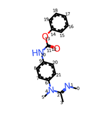 CN=C(C)N(C)c1ccc(NC(=O)Oc2ccccc2)cc1